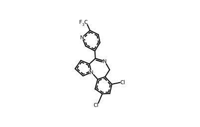 FC(F)(F)c1ccc(C2=NCc3c(Cl)cc(Cl)cc3-n3cccc32)cn1